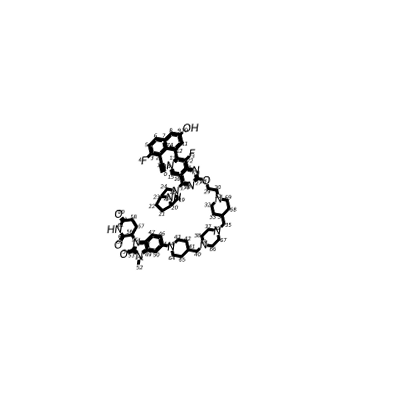 C#Cc1c(F)ccc2cc(O)cc(-c3ncc4c(N5CC6CCC(C5)N6)nc(OCCN5CCC(CN6CCN(CC7CCN(c8ccc9c(c8)n(C)c(=O)n9C8CCC(=O)NC8=O)CC7)CC6)CC5)nc4c3F)c12